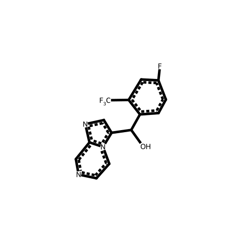 OC(c1ccc(F)cc1C(F)(F)F)c1cnc2cnccn12